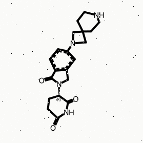 O=C1CC[C@@H](N2Cc3cc(N4CC5(CCNCC5)C4)ccc3C2=O)C(=O)N1